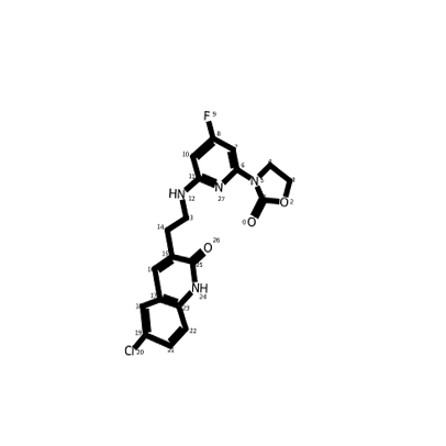 O=C1OCCN1c1cc(F)cc(NCCc2cc3cc(Cl)ccc3[nH]c2=O)n1